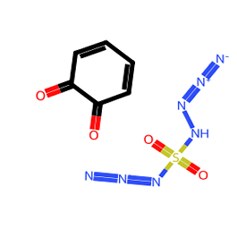 O=C1C=CC=CC1=O.[N-]=[N+]=NNS(=O)(=O)N=[N+]=[N-]